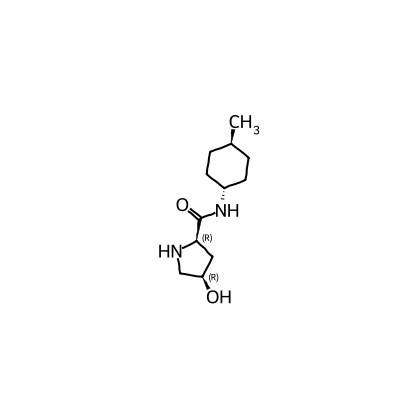 C[C@H]1CC[C@H](NC(=O)[C@H]2C[C@@H](O)CN2)CC1